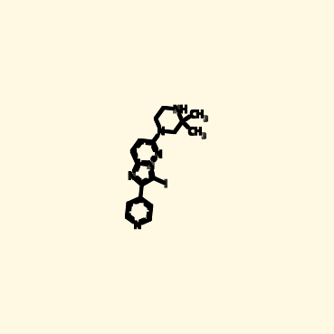 CC1(C)CN(c2ccc3nc(-c4ccncc4)c(I)n3n2)CCN1